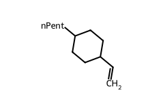 C=CC1CCC(CCCCC)CC1